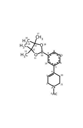 CC(=O)N1CC=C(c2cncc(B3OC(C)(C)C(C)(C)O3)c2)CC1